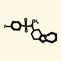 CN(C1CCc2cc3ccccn3c2C1)S(=O)(=O)c1ccc(F)cc1